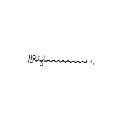 CCCCCCCCCCCCCCCCCCNC(=O)NCC(O)O